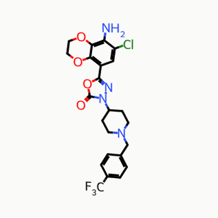 Nc1c(Cl)cc(-c2nn(C3CCN(Cc4ccc(C(F)(F)F)cc4)CC3)c(=O)o2)c2c1OCCO2